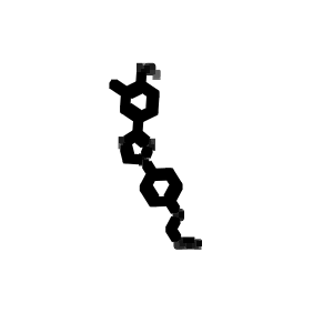 COCOc1ccc(-n2cnc(-c3ccc([N+](=O)[O-])c(C)c3)n2)cc1